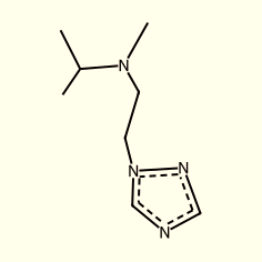 CC(C)N(C)CCn1cncn1